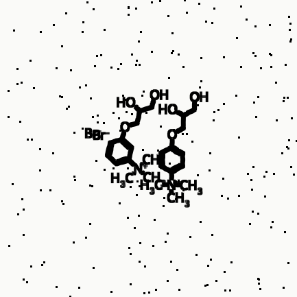 C[N+](C)(C)c1ccc(OCC(O)CO)cc1.C[N+](C)(C)c1cccc(OCC(O)CO)c1.[Br-].[Br-]